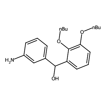 CCCCOc1cccc(C(O)c2cccc(N)c2)c1OCCCC